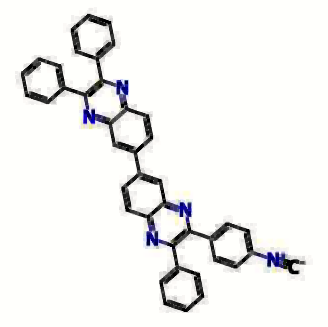 [C-]#[N+]c1ccc(-c2nc3cc(-c4ccc5nc(-c6ccccc6)c(-c6ccccc6)nc5c4)ccc3nc2-c2ccccc2)cc1